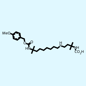 COc1ccc(COC(=O)NC(C)(C)CCCCCCCNCCC(C)(C)NC(=O)O)cc1